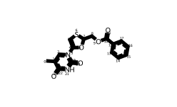 Cc1cn(C2=CSC(COC(=O)c3ccccc3)O2)c(=O)[nH]c1=O